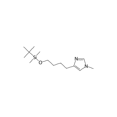 Cn1cnc(CCCCO[Si](C)(C)C(C)(C)C)c1